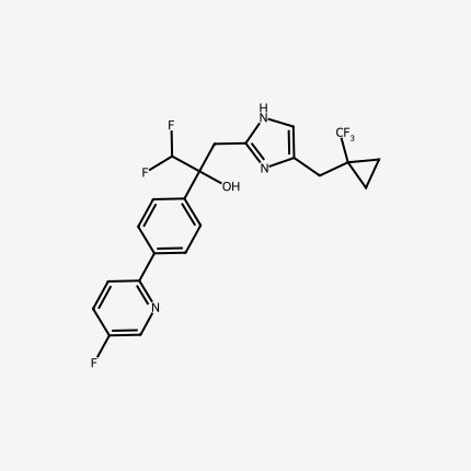 OC(Cc1nc(CC2(C(F)(F)F)CC2)c[nH]1)(c1ccc(-c2ccc(F)cn2)cc1)C(F)F